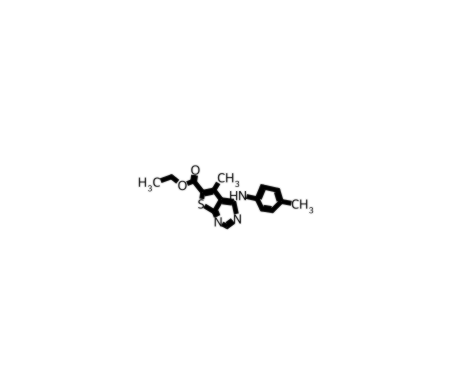 CCOC(=O)c1sc2ncnc(Nc3ccc(C)cc3)c2c1C